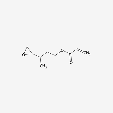 C=CC(=O)OCCC(C)C1CO1